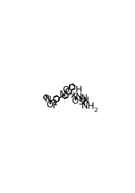 CC(C)(C(=O)Nc1nnc(N)s1)[C@H]1c2ccccc2Oc2nc(-c3ccc(C(=O)N4CCCC4)c(F)c3)ccc21